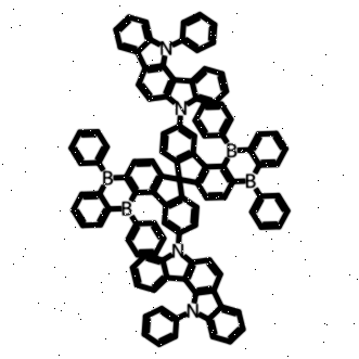 c1ccc(B2c3ccccc3B(c3ccccc3)c3c2ccc2c3-c3cc(-n4c5ccccc5c5c4ccc4c6ccccc6n(-c6ccccc6)c45)ccc3C23c2ccc(-n4c5ccccc5c5c4ccc4c6ccccc6n(-c6ccccc6)c45)cc2-c2c3ccc3c2B(c2ccccc2)c2ccccc2B3c2ccccc2)cc1